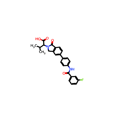 CC(C)C(C(=O)O)N1Cc2cc(-c3ccc(NC(=O)c4cccc(F)c4)cc3)ccc2C1=O